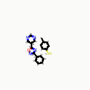 Cc1ccc(S)cc1.c1ccc(-c2noc(-c3cncnc3)n2)cc1